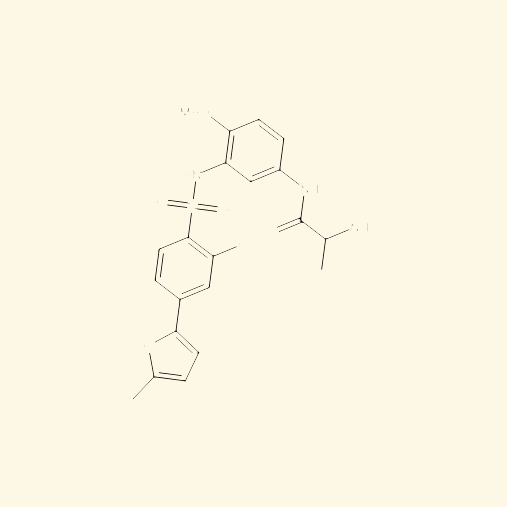 COc1ccc(NC(=O)C(C)N)cc1NS(=O)(=O)c1ccc(-c2ccc(C)o2)cc1Cl